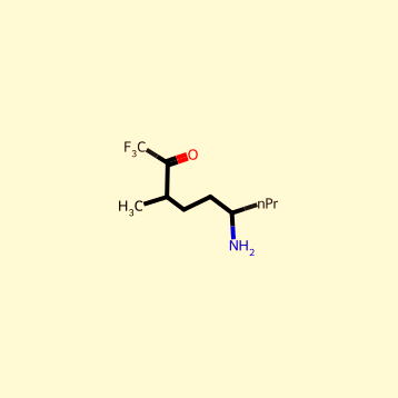 CCCC(N)CCC(C)C(=O)C(F)(F)F